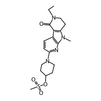 CCN1CCc2c(c3ccc(N4CCC(OS(C)(=O)=O)CC4)nc3n2C)C1=O